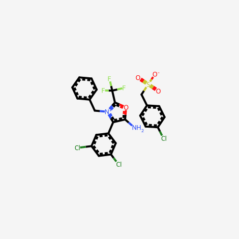 Nc1oc(C(F)(F)F)[n+](Cc2ccccc2)c1-c1cc(Cl)cc(Cl)c1.O=S(=O)([O-])Cc1ccc(Cl)cc1